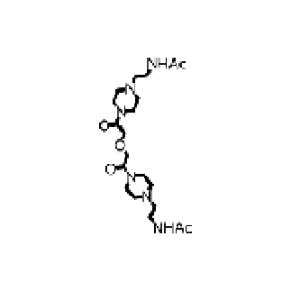 CC(=O)NCCN1CCN(C(=O)COCC(=O)N2CCN(CCNC(C)=O)CC2)CC1